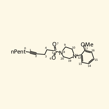 CCCCCC#CCCS(=O)(=O)N1CCN(c2ccccc2OC)CC1